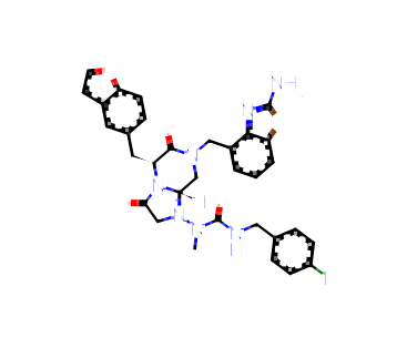 CN(C(=O)NCc1ccc(F)cc1)N1CC(=O)N2[C@@H](Cc3ccc4occc4c3)C(=O)N(Cc3cccc4sc(N)nc34)C[C@@H]21